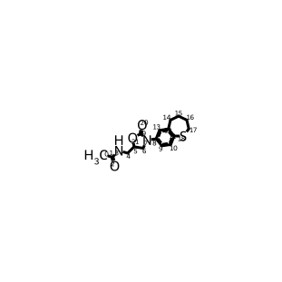 CC(=O)NCC1CN(c2ccc3c(c2)CCCCS3)C(=O)O1